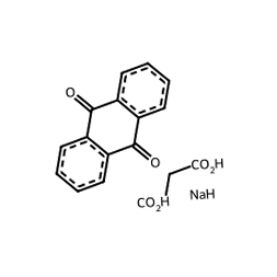 O=C(O)CC(=O)O.O=C1c2ccccc2C(=O)c2ccccc21.[NaH]